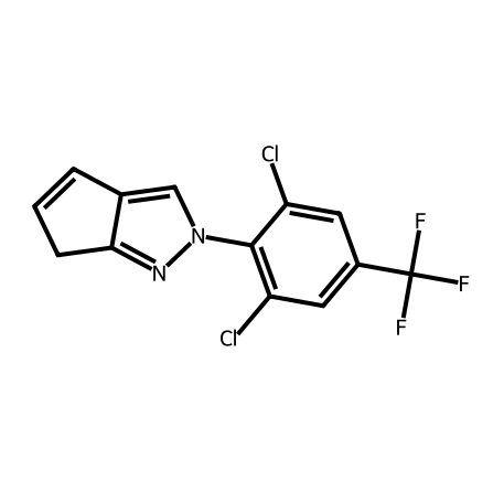 FC(F)(F)c1cc(Cl)c(-n2cc3c(n2)CC=C3)c(Cl)c1